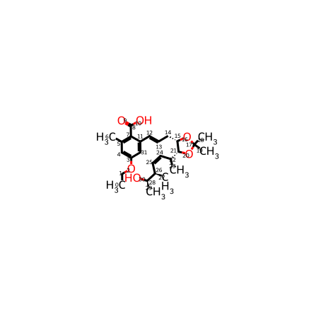 CCOc1cc(C)c(C(=O)O)c(/C=C/C[C@@H]2OC(C)(C)O[C@@H]2C(C)/C=C\[C@@H](C)[C@@H](C)O)c1